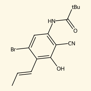 CC=Cc1c(Br)cc(NC(=O)C(C)(C)C)c(C#N)c1O